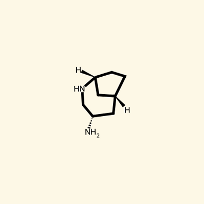 N[C@@H]1CN[C@@H]2CC[C@H](C1)C2